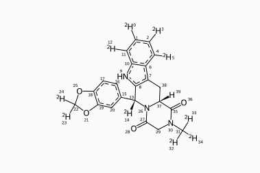 [2H]c1c([2H])c([2H])c2c3c([nH]c2c1[2H])[C@@]([2H])(c1ccc2c(c1)OC([2H])([2H])O2)N1C(=O)CN(C([2H])([2H])[2H])C(=O)[C@H]1C3